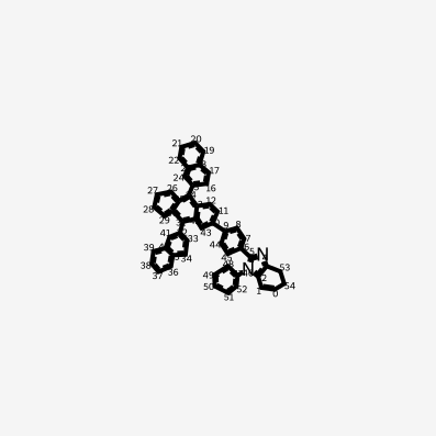 C1=Cc2c(nc(-c3ccc(-c4ccc5c(-c6ccc7ccccc7c6)c6ccccc6c(-c6ccc7ccccc7c6)c5c4)cc3)n2-c2ccccc2)CC1